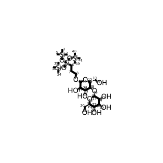 C[Si](C)(C)O[Si](CCCO[C@@H]1O[C@H](CO)[C@@H](O[C@H]2O[C@H](CO)[C@@H](O)[C@H](O)[C@H]2O)[C@H](O)[C@H]1O)(O[Si](C)(C)C)O[Si](C)(C)C